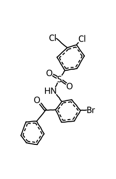 O=C(c1ccccc1)c1ccc(Br)cc1NS(=O)(=O)c1ccc(Cl)c(Cl)c1